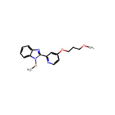 COCCCOc1ccnc(-c2nc3ccccc3n2SC)c1